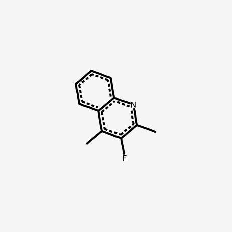 Cc1nc2ccccc2c(C)c1F